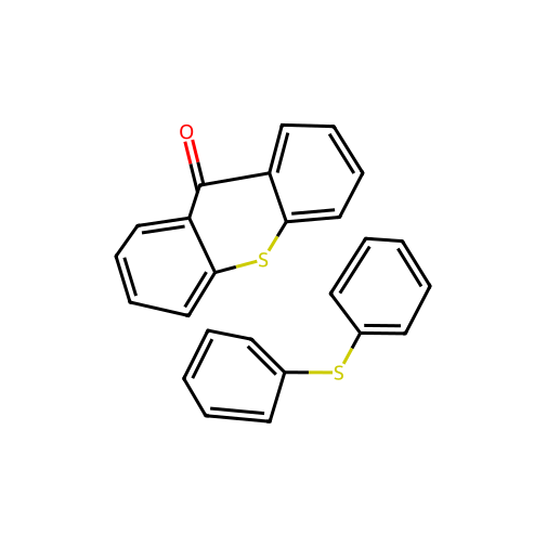 O=c1c2ccccc2sc2ccccc12.c1ccc(Sc2ccccc2)cc1